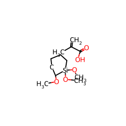 C=C(C)C(=O)O.COC1CCCC[Si]1(OC)OC